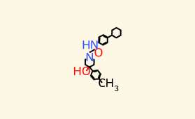 Cc1ccc(C2(O)CCN(CC(=O)Nc3ccc(C4CCCCC4)cc3)CC2)cc1